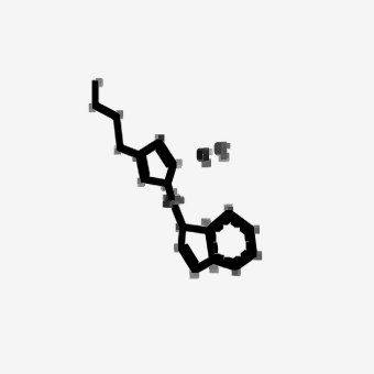 CCCCC1=C[CH]([Zr+2][CH]2C=Cc3ccccc32)C=C1.[Cl-].[Cl-]